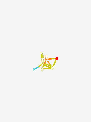 F[SH](=S)=S123S[PH]1(S2)S3